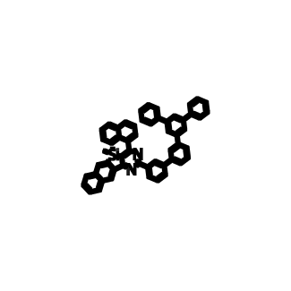 C[Si]1(C)c2cc3ccccc3cc2-c2nc(-c3cccc(-c4cccc(-c5cc(-c6ccccc6)cc(-c6ccccc6)c5)c4)c3)nc(-c3cccc4ccccc34)c21